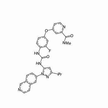 CNC(=O)c1cc(Oc2ccc(NC(=O)Nc3cc(C(C)C)nn3-c3ccc4cnccc4c3)c(F)c2)ccn1